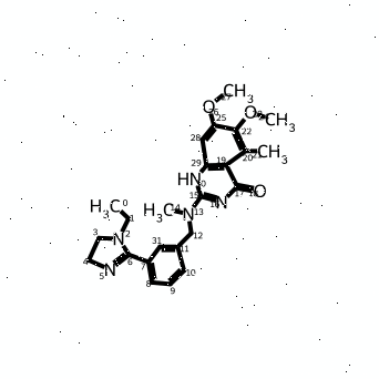 CCN1CCN=C1c1cccc(CN(C)c2nc(=O)c3c(C)c(OC)c(OC)cc3[nH]2)c1